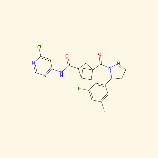 O=C(Nc1cc(Cl)ncn1)C1CC2(C(=O)N3N=CCC3c3cc(F)cc(F)c3)CC1C2